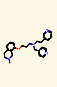 CN1CCc2cccc(OCCCN(CCc3cccnc3)Cc3ccncc3)c2C1